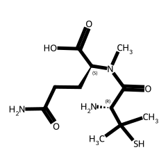 CN(C(=O)[C@@H](N)C(C)(C)S)[C@@H](CCC(N)=O)C(=O)O